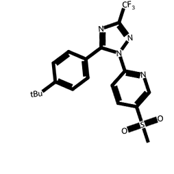 CC(C)(C)c1ccc(-c2nc(C(F)(F)F)nn2-c2ccc(S(C)(=O)=O)cn2)cc1